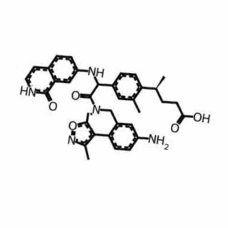 Cc1cc(C(Nc2ccc3cc[nH]c(=O)c3c2)C(=O)N(C)Cc2cc(N)ccc2-c2c(C)noc2C)ccc1[C@@H](C)CCC(=O)O